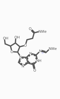 CN/C=N/c1nc2c(ncn2C2OC(CO)C(O)C2OCCC(=O)NC)c(=O)[nH]1